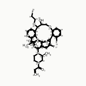 C=CC(=O)N1CCN(c2nc(=O)n3c4nc(c(F)cc24)-c2c(F)cccc2OCC(O)C(OCCF)c2ccnc(C(C)C)c2-3)[C@@H](C)C1